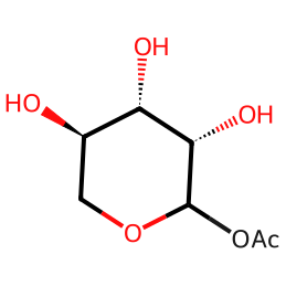 CC(=O)OC1OC[C@@H](O)[C@H](O)[C@@H]1O